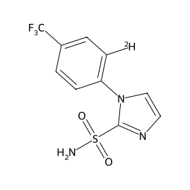 [2H]c1cc(C(F)(F)F)ccc1-n1ccnc1S(N)(=O)=O